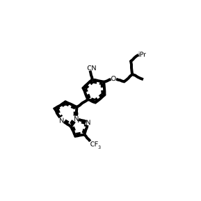 CC(C)CC(C)COc1ccc(-c2ccnc3cc(C(F)(F)F)nn23)cc1C#N